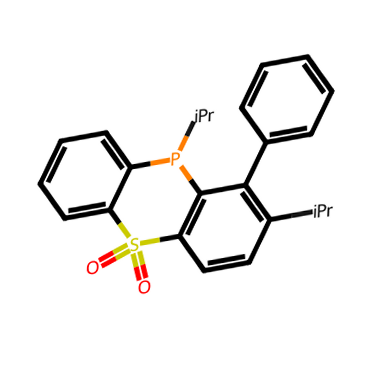 CC(C)c1ccc2c(c1-c1ccccc1)P(C(C)C)c1ccccc1S2(=O)=O